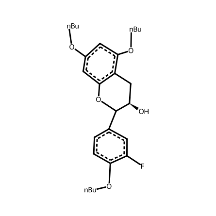 CCCCOc1cc(OCCCC)c2c(c1)OC(c1ccc(OCCCC)c(F)c1)[C@H](O)C2